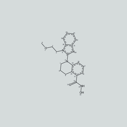 COCCn1c(N2CCCc3c(C(=O)NO)cccc32)nc2ccccc21